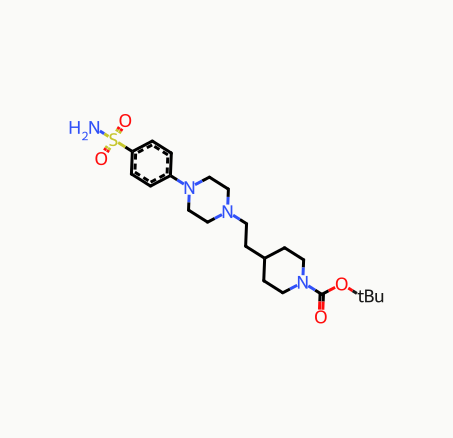 CC(C)(C)OC(=O)N1CCC(CCN2CCN(c3ccc(S(N)(=O)=O)cc3)CC2)CC1